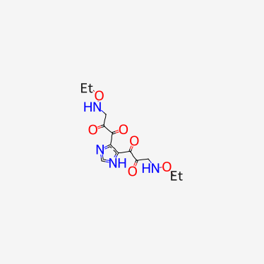 CCONCC(=O)C(=O)c1nc[nH]c1C(=O)C(=O)CNOCC